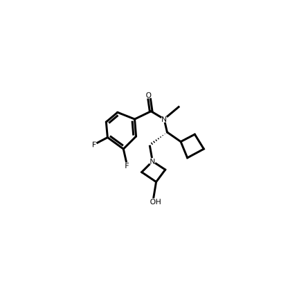 CN(C(=O)c1ccc(F)c(F)c1)[C@@H](CN1CC(O)C1)C1CCC1